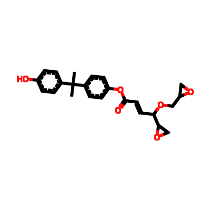 CC(C)(c1ccc(O)cc1)c1ccc(OC(=O)C=CC(OCC2CO2)C2CO2)cc1